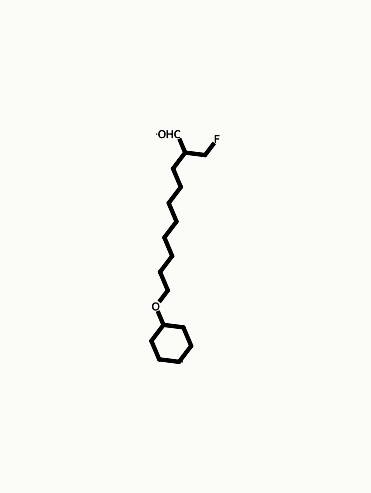 O=[C]C(CF)CCCCCCCCOC1CC[CH]CC1